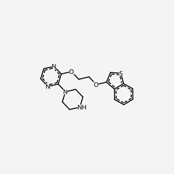 c1ccc2c(OCCOc3nccnc3N3CCNCC3)csc2c1